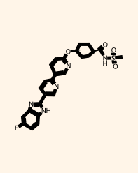 CS(=O)(=O)NC(=O)[C@H]1CC[C@@H](Oc2ccc(-c3ccc(-c4nc5cc(F)ccc5[nH]4)cn3)cn2)CC1